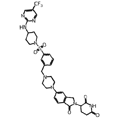 O=C1CCC(N2Cc3cc(N4CCN(Cc5cccc(S(=O)(=O)N6CCC(Nc7ncc(C(F)(F)F)cn7)CC6)c5)CC4)ccc3C2=O)C(=O)N1